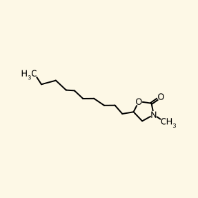 CCCCCCCCCCC1CN(C)C(=O)O1